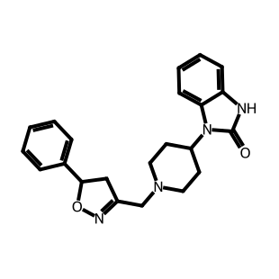 O=c1[nH]c2ccccc2n1C1CCN(CC2=NOC(c3ccccc3)C2)CC1